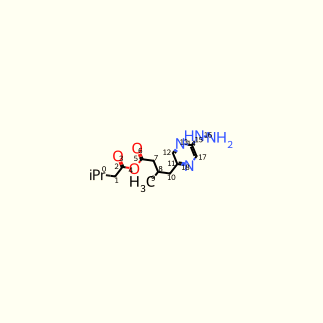 CC(C)CC(=O)OC(=O)CC(C)Cc1cnc(NN)cn1